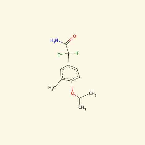 Cc1cc(C(F)(F)C(N)=O)ccc1OC(C)C